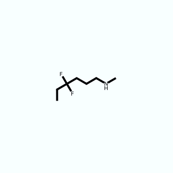 CCC(F)(F)CCCNC